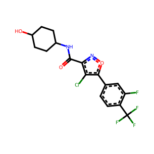 O=C(NC1CCC(O)CC1)c1noc(-c2ccc(C(F)(F)F)c(F)c2)c1Cl